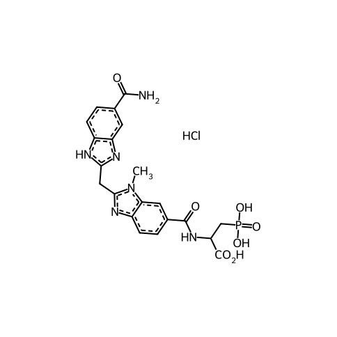 Cl.Cn1c(Cc2nc3cc(C(N)=O)ccc3[nH]2)nc2ccc(C(=O)NC(CP(=O)(O)O)C(=O)O)cc21